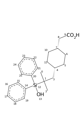 CC(C)(C[C@H]1CC[C@@H](CC(=O)O)CC1)[Si](O)(c1ccccc1)c1ccccc1